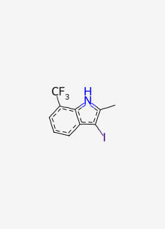 Cc1[nH]c2c(C(F)(F)F)cccc2c1I